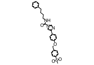 CS(=O)(=O)c1ccc(COc2ccc(-c3cn(C(=O)NCCCCc4ccccc4)cn3)cc2)cc1